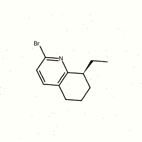 CC[C@H]1CCCc2ccc(Br)nc21